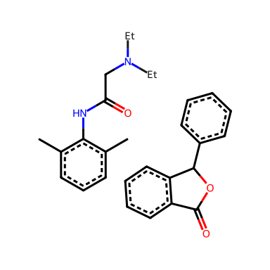 CCN(CC)CC(=O)Nc1c(C)cccc1C.O=C1OC(c2ccccc2)c2ccccc21